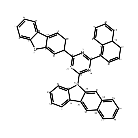 C1=CC2=C(c3nc(C4C=c5oc6ccccc6c5=CC4)nc(-n4c5ccccc5c5cc6ccccc6cc54)n3)C=CCC2C=C1